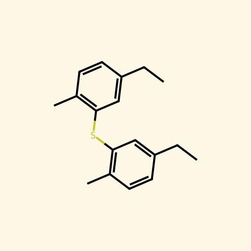 CCc1ccc(C)c(Sc2cc(CC)ccc2C)c1